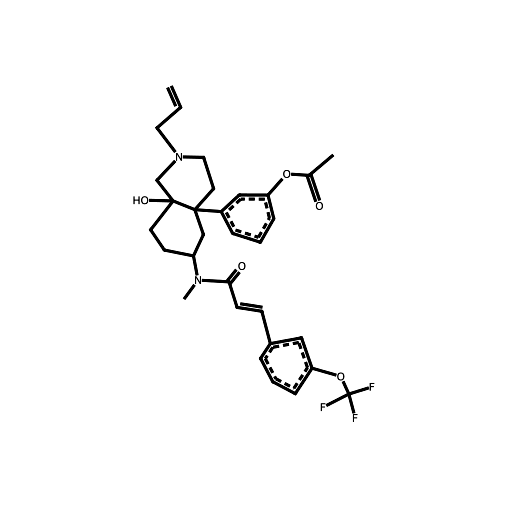 C=CCN1CCC2(c3cccc(OC(C)=O)c3)CC(N(C)C(=O)/C=C/c3cccc(OC(F)(F)F)c3)CCC2(O)C1